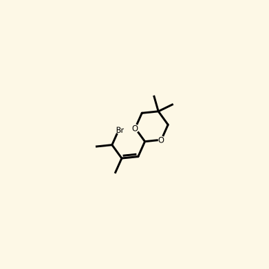 CC(=CC1OCC(C)(C)CO1)C(C)Br